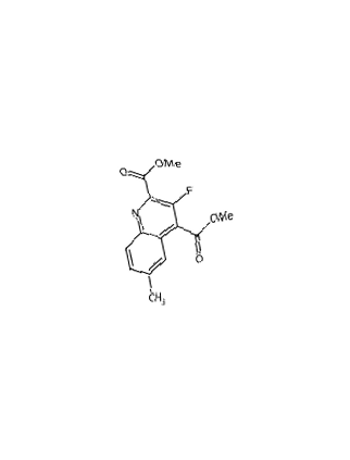 COC(=O)c1nc2ccc(C)cc2c(C(=O)OC)c1F